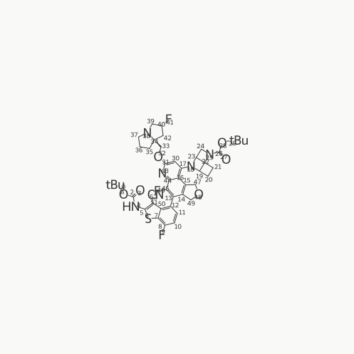 CC(C)(C)OC(=O)Nc1sc2c(F)ccc(-c3c4c(c5c(N6C7CCC78C6CN8C(=O)OC(C)(C)C)cc(OC[C@@]67CCCN6C[C@H](F)C7)nc5c3F)COC4)c2c1C#N